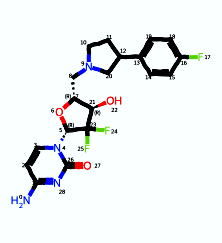 Nc1ccn([C@@H]2O[C@H](CN3CCC(c4ccc(F)cc4)C3)[C@@H](O)C2(F)F)c(=O)n1